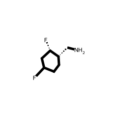 NC[C@@H]1CCC(F)C[C@@H]1F